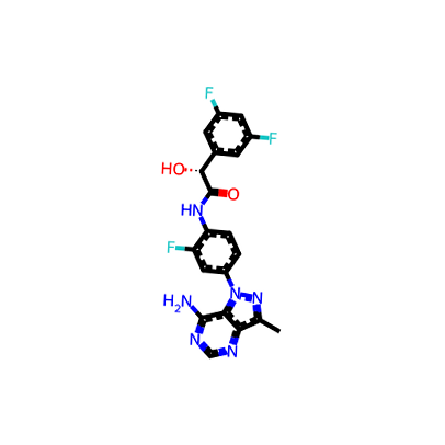 Cc1nn(-c2ccc(NC(=O)[C@H](O)c3cc(F)cc(F)c3)c(F)c2)c2c(N)ncnc12